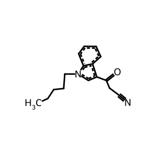 CCCCCn1cc(C(=O)CC#N)c2ccccc21